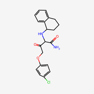 NC(=O)C(NC1CCCc2ccccc21)C(=O)COc1ccc(Cl)cc1